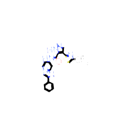 O=C(Nc1ccn2cc(-c3ccccc3)nc2c1)c1[nH]ncc1-c1nc(C(F)(F)F)cs1